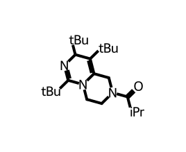 CC(C)C(=O)N1CCN2C(C(C)(C)C)=NC(C(C)(C)C)C(C(C)(C)C)=C2C1